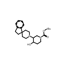 CC(C)(C)OC(=O)N1CCC(O)C(N2CCC3(CCc4ccccc43)CC2)C1